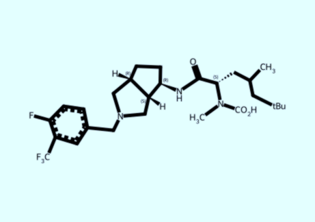 CC(C[C@@H](C(=O)N[C@@H]1CC[C@H]2CN(Cc3ccc(F)c(C(F)(F)F)c3)C[C@H]21)N(C)C(=O)O)CC(C)(C)C